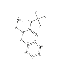 CC(C)(C)OC(=O)N(CN)Cc1ccccc1